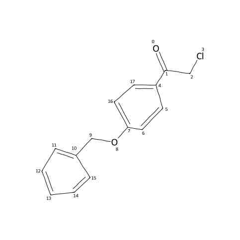 O=C(CCl)c1ccc(OCc2ccccc2)cc1